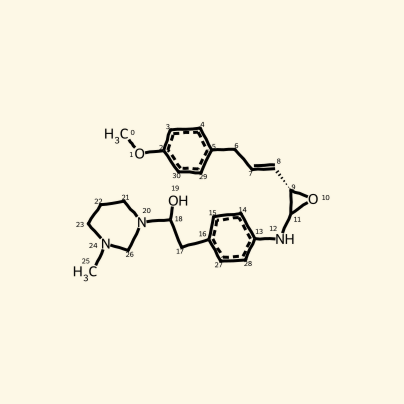 COc1ccc(C/C=C/[C@@H]2OC2Nc2ccc(CC(O)N3CCCN(C)C3)cc2)cc1